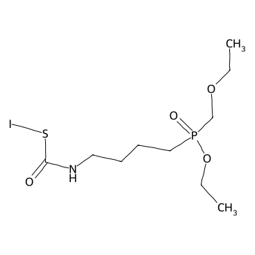 CCOCP(=O)(CCCCNC(=O)SI)OCC